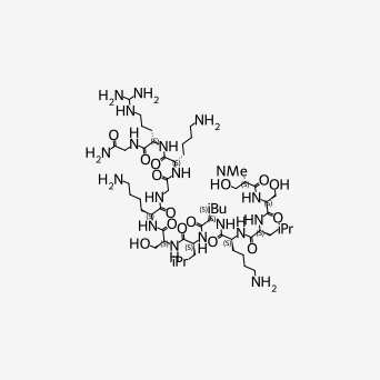 CC[C@H](C)[C@H](NC(=O)[C@H](CCCCN)NC(=O)[C@H](CC(C)C)NC(=O)[C@H](CO)NC(=O)[C@H](CO)NC)C(=O)N[C@@H](CC(C)C)C(=O)N[C@@H](CO)C(=O)N[C@@H](CCCCN)C(=O)NCC(=O)N[C@@H](CCCCN)C(=O)N[C@@H](CCCNC(N)N)C(=O)NCC(N)=O